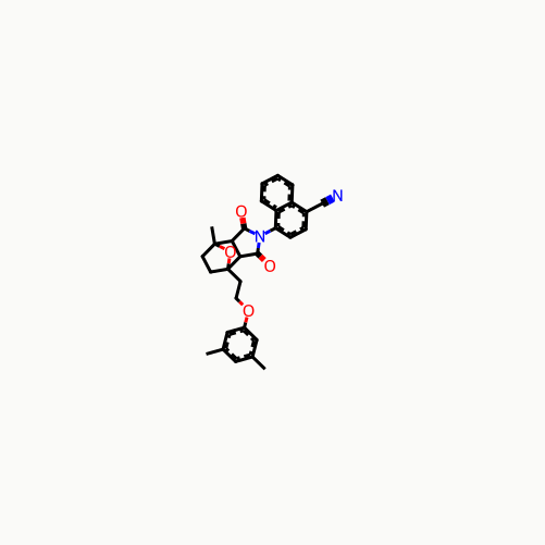 Cc1cc(C)cc(OCCC23CCC(C)(O2)C2C(=O)N(c4ccc(C#N)c5ccccc45)C(=O)C23)c1